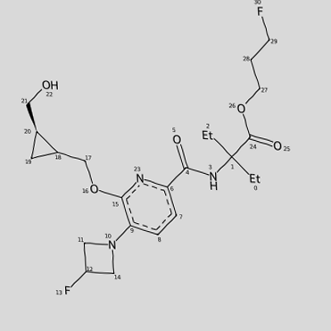 CCC(CC)(NC(=O)c1ccc(N2CC(F)C2)c(OCC2C[C@H]2CO)n1)C(=O)OCCCF